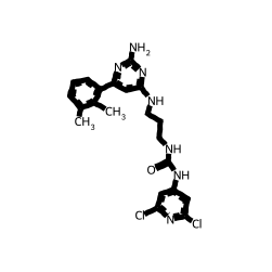 Cc1cccc(-c2cc(NCCCNC(=O)Nc3cc(Cl)nc(Cl)c3)nc(N)n2)c1C